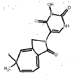 CC1(I)C=CC=C2C(=O)N(c3c[nH]c(=O)n(O)c3=O)CC2=C1